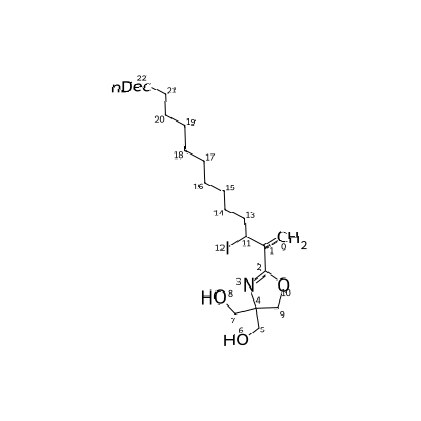 C=C(C1=NC(CO)(CO)CO1)C(I)CCCCCCCCCCCCCCCCCCC